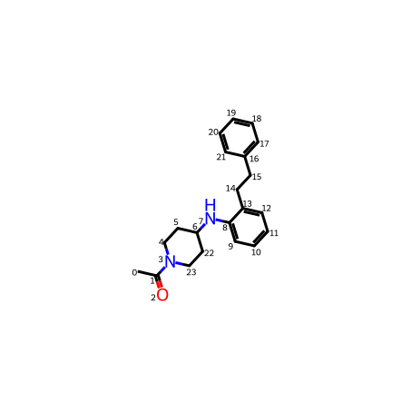 CC(=O)N1CCC(Nc2ccccc2CCc2ccccc2)CC1